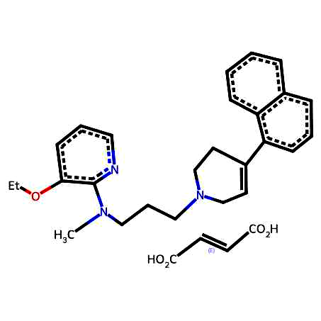 CCOc1cccnc1N(C)CCCN1CC=C(c2cccc3ccccc23)CC1.O=C(O)/C=C/C(=O)O